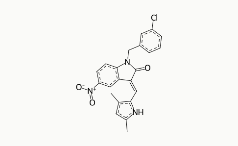 Cc1cc(C)c(C=C2C(=O)N(Cc3cccc(Cl)c3)c3ccc([N+](=O)[O-])cc32)[nH]1